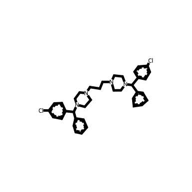 Clc1ccc(C(c2ccccc2)N2CCN(CCCN3CCN(C(c4ccccc4)c4ccc(Cl)cc4)CC3)CC2)cc1